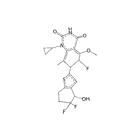 COC1=c2c(=O)[nH]c(=O)n(C3CC3)c2=C(C)C(c2cc3c(s2)CCC(F)(F)C3O)C1F